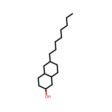 CCCCCCCCC1CCC2CC(O)CCC2C1